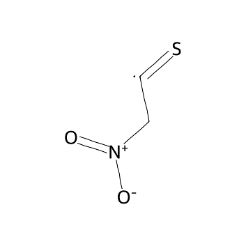 O=[N+]([O-])C[C]=S